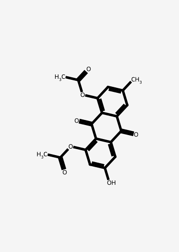 CC(=O)Oc1cc(C)cc2c1C(=O)c1c(OC(C)=O)cc(O)cc1C2=O